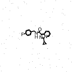 O=C(NCc1ccc(F)cc1)c1nc(C2CC2)n2ccccc12